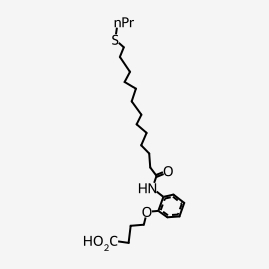 CCCSCCCCCCCCCCCCC(=O)Nc1ccccc1OCCCC(=O)O